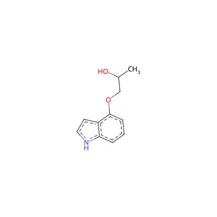 CC(O)COc1cccc2[nH]ccc12